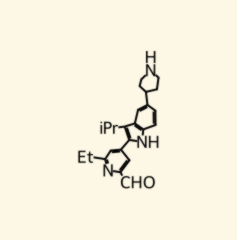 CCc1cc(-c2[nH]c3ccc(C4CCNCC4)cc3c2C(C)C)cc(C=O)n1